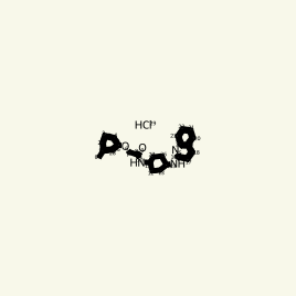 Cc1cccc(OCC(=O)NC2CCC(Nc3ccc4ccccc4n3)CC2)c1.Cl